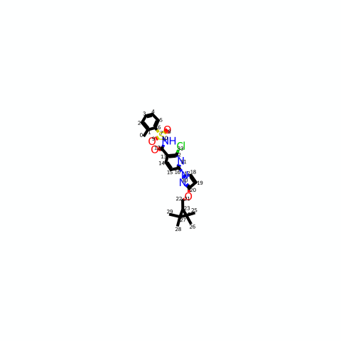 Cc1ccccc1S(=O)(=O)NC(=O)c1ccc(-n2ccc(OCC3C(C)(C)C3(C)C)n2)nc1Cl